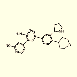 N#Cc1cc(-c2cc(-c3ccc(C4CCOCC4)c([C@@H]4CCCN4)c3)cnc2N)ccn1